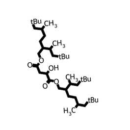 CC(CCC(COC(=O)CC(O)C(=O)OCC(CCC(C)CC(C)(C)C)C(C)CC(C)(C)C)C(C)CC(C)(C)C)CC(C)(C)C